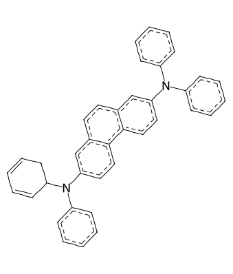 C1=CCC(N(c2ccccc2)c2ccc3c(ccc4cc(N(c5ccccc5)c5ccccc5)ccc43)c2)C=C1